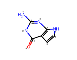 NC1=Nc2[nH]ccc2C(=O)[N]1